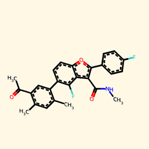 CNC(=O)c1c(-c2ccc(F)cc2)oc2ccc(-c3cc(C(C)=O)c(C)cc3C)c(F)c12